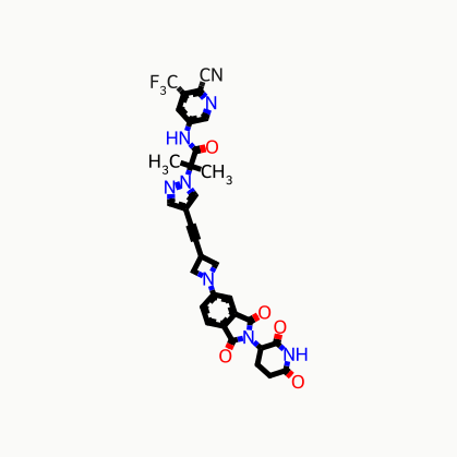 CC(C)(C(=O)Nc1cnc(C#N)c(C(F)(F)F)c1)n1cc(C#CC2CN(c3ccc4c(c3)C(=O)N(C3CCC(=O)NC3=O)C4=O)C2)cn1